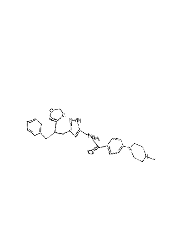 CN1CCN(c2ccc(C(=O)Nc3cc(CC(Cc4ccccc4)C4=COCO4)n[nH]3)cc2)CC1